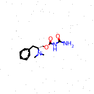 CN(C)[C@@H](COC(=O)NC(N)=O)Cc1ccccc1